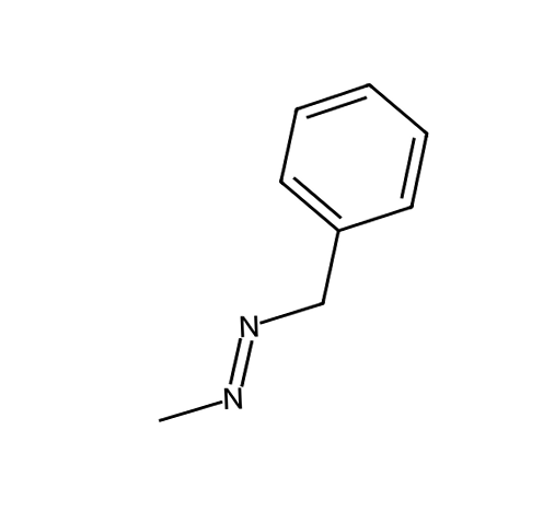 CN=NCc1ccccc1